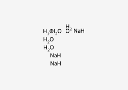 O.O.O.O.O.[NaH].[NaH].[NaH]